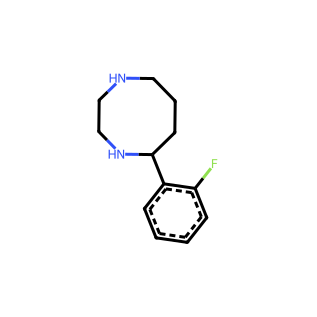 Fc1ccccc1C1CCCNCCN1